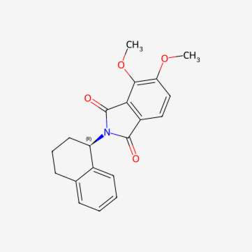 COc1ccc2c(c1OC)C(=O)N([C@@H]1CCCc3ccccc31)C2=O